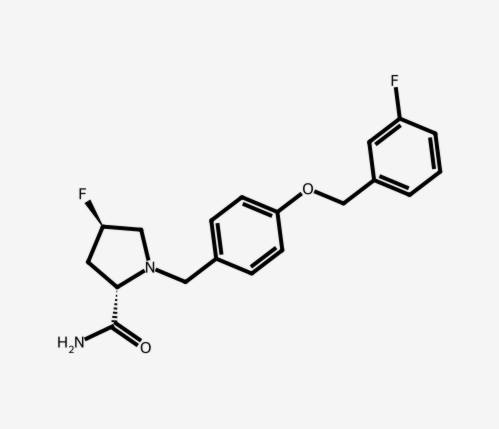 NC(=O)[C@@H]1C[C@@H](F)CN1Cc1ccc(OCc2cccc(F)c2)cc1